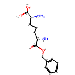 NC(CCC[C@H](N)C(=O)OCc1ccccc1)C(=O)O